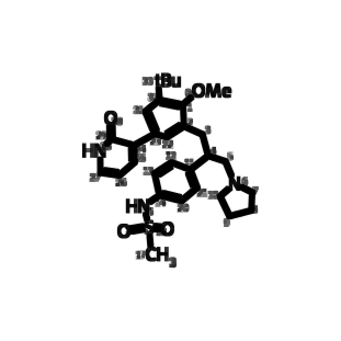 COc1c(CC(CN2CCCC2)c2ccc(NS(C)(=O)=O)cc2)cc(-c2ccc[nH]c2=O)cc1C(C)(C)C